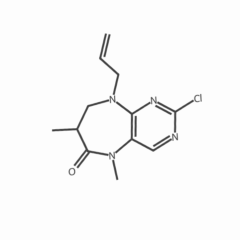 C=CCN1CC(C)C(=O)N(C)c2cnc(Cl)nc21